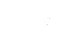 Cc1cc(CCC(=O)OCCCC(C)C)cc(C(C)(C)C)c1O